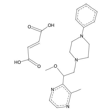 COC(CN1CCN(c2ccccc2)CC1)c1nccnc1C.O=C(O)/C=C/C(=O)O